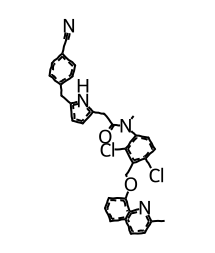 Cc1ccc2cccc(OCc3c(Cl)ccc(N(C)C(=O)Cc4ccc(Cc5ccc(C#N)cc5)[nH]4)c3Cl)c2n1